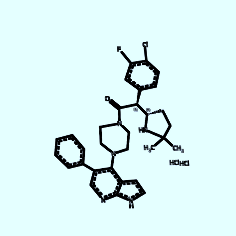 CC1(C)CC[C@@H]([C@@H](C(=O)N2CCN(c3c(-c4ccccc4)cnc4[nH]ccc34)CC2)c2ccc(Cl)c(F)c2)N1.Cl.Cl